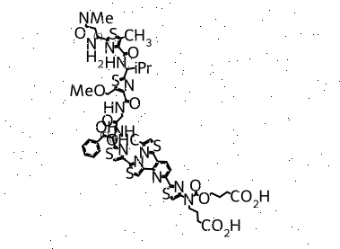 CNC(=O)C[C@H](N)c1nc(C(=O)NC(c2nc(C(=O)NCC(=O)N[C@H](c3nc(-c4nc(-c5nc(-c6nc(N(CCCC(=O)O)C(=O)OCCCC(=O)O)cs6)ccc5-c5nc(C=O)cs5)cs4)cs3)[C@@H](O)c3ccccc3)c(COC)s2)C(C)C)c(C)s1